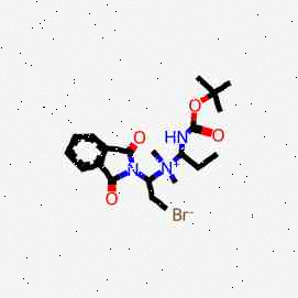 CCC(NC(=O)OC(C)(C)C)[N+](C)(C)C(CC)N1C(=O)c2ccccc2C1=O.[Br-]